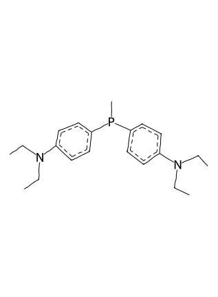 CCN(CC)c1ccc(P(C)c2ccc(N(CC)CC)cc2)cc1